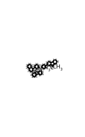 CC1(C)c2ccccc2-c2ccc(-c3ccc(N(c4cccc(-c5cccc6ccccc56)c4)c4cccc5c4sc4ccccc45)cc3)cc21